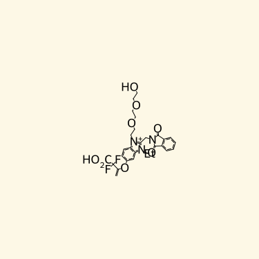 C=C(Oc1ccc2c(c1)n(CC)c(CN1C(=O)c3ccccc3C1=O)[n+]2CCOCCOCCO)C(F)(F)C(=O)O